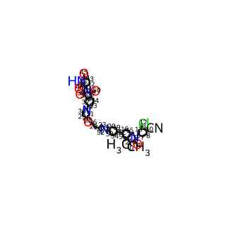 CC1(C)C(=O)N(c2ccc(C#N)c(Cl)c2)c2ccc(-c3ccc(N4CC(CCOC5CCN(c6ccc7c(c6)C(=O)N(C6CCC(=O)NC6=O)C7=O)C5)C4)cc3)cc21